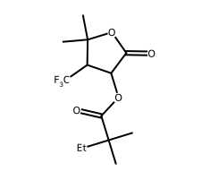 CCC(C)(C)C(=O)OC1C(=O)OC(C)(C)C1C(F)(F)F